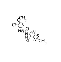 COc1ccc(NC(=O)Nc2cnc3sc(C)nc3c2C2CC2)cc1Cl